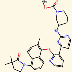 Cc1ccc2c(N3CCC(C)(C)C3=O)cccc2c1Oc1ncccc1-c1ccnc(NC2CCCN(C(=O)OC(C)(C)C)C2)n1